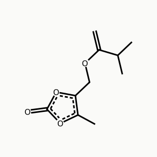 C=C(OCc1oc(=O)oc1C)C(C)C